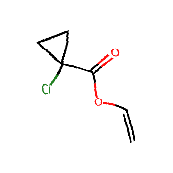 C=COC(=O)C1(Cl)CC1